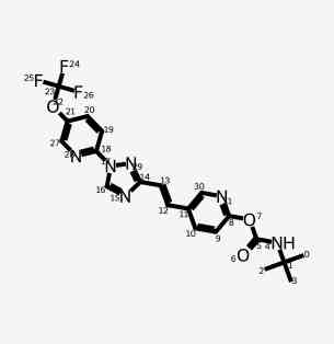 CC(C)(C)NC(=O)Oc1ccc(/C=C/c2ncn(-c3ccc(OC(F)(F)F)cn3)n2)cn1